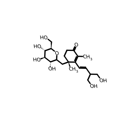 CC1=C(C=CC(CO)CO)[C@](C)(CC2O[C@H](CO)[C@@H](O)[C@H](O)[C@H]2O)CCC1=O